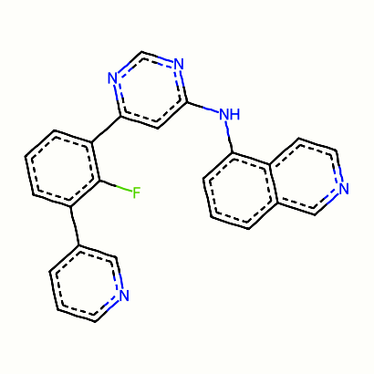 Fc1c(-c2cccnc2)cccc1-c1cc(Nc2cccc3cnccc23)ncn1